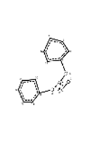 CC(=O)[O-].c1ccc([O][Al+][O]c2ccccc2)cc1